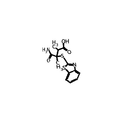 CC(C(=O)O)C(C)(Sc1nc2ccccc2s1)C(N)=O